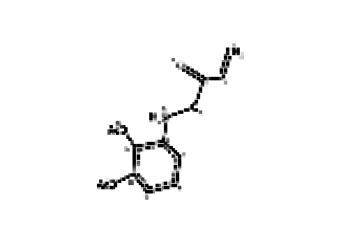 C=CC(=O)O[SiH2]c1cccc(OC(C)=O)c1OC(C)=O